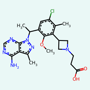 COc1c(C(C)n2nc(C)c3c(N)ncnc32)cc(Cl)c(C)c1C1CN(CCC(=O)O)C1